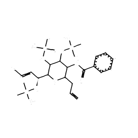 C=CCC1OC([C@H](C=CI)O[Si](C)(C)C(C)(C)C)C(O[Si](C)(C)C(C)(C)C)C(O[Si](C)(C)C(C)(C)C)C1OC(=O)c1ccccc1